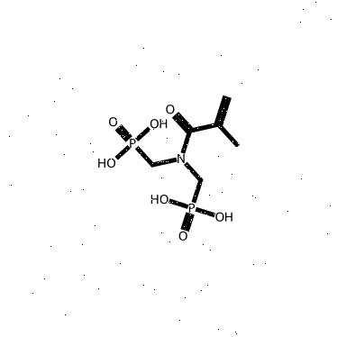 C=C(C)C(=O)N(CP(=O)(O)O)CP(=O)(O)O